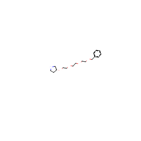 c1ccc(COCCOCCOCCO[C@H]2CCNC2)cc1